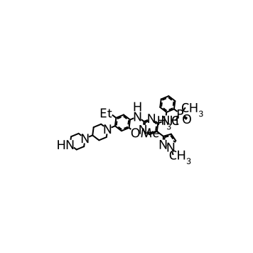 CCc1cc(Nc2ncc(-c3ccn(C)n3)c(Nc3ccccc3P(C)(C)=O)n2)c(OC)cc1N1CCC(N2CCNCC2)CC1